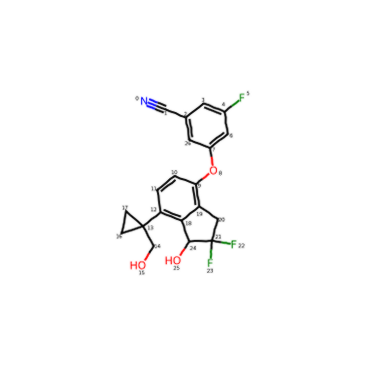 N#Cc1cc(F)cc(Oc2ccc(C3(CO)CC3)c3c2CC(F)(F)C3O)c1